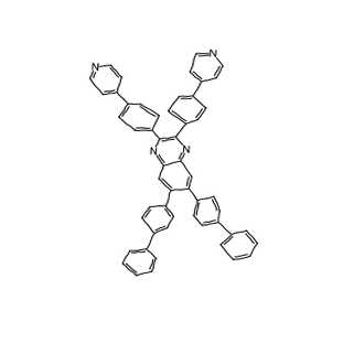 c1ccc(-c2ccc(-c3cc4nc(-c5ccc(-c6ccncc6)cc5)c(-c5ccc(-c6ccncc6)cc5)nc4cc3-c3ccc(-c4ccccc4)cc3)cc2)cc1